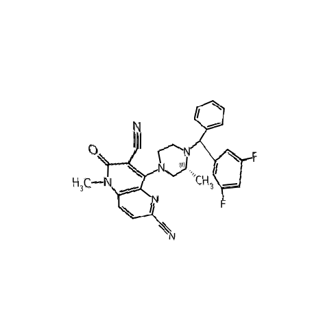 C[C@@H]1CN(c2c(C#N)c(=O)n(C)c3ccc(C#N)nc23)CCN1C(c1ccccc1)c1cc(F)cc(F)c1